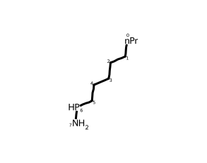 CCCCCCCCPN